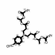 CCCC(=O)OC(C)OC(=O)CCN(CCC(=O)OC(C)OC(=O)CCC)c1ccc(C=O)cc1